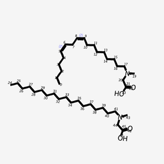 CCCCC/C=C\C/C=C\CCCCCCCCN(C)CC(=O)O.CCCCCCCCCCCCCCCCCCN(C)CC(=O)O